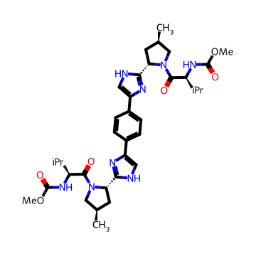 COC(=O)N[C@H](C(=O)N1C[C@H](C)C[C@H]1c1nc(-c2ccc(-c3c[nH]c([C@@H]4C[C@@H](C)CN4C(=O)[C@@H](NC(=O)OC)C(C)C)n3)cc2)c[nH]1)C(C)C